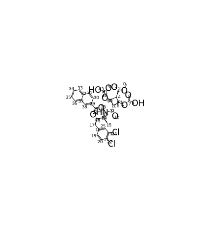 COC(=O)[C@H]1[C@H](OC(=O)O)[C@H](C(=O)N[C@@H](C)[C@@H](Cc2ccc(Cl)c(Cl)c2)OC(=O)c2ccc3ccccc3c2)[C@H]1OC(=O)O